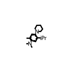 Cc1cc(N2CCCCC2)c(C(C)C)cc1N(C)C